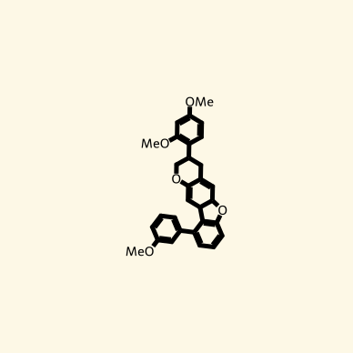 COc1cccc(-c2cccc3c2C2C=C4OCC(c5ccc(OC)cc5OC)CC4=CC2O3)c1